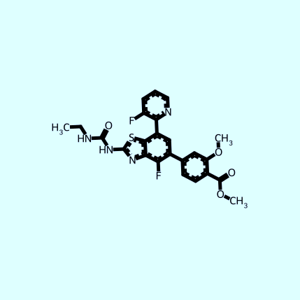 CCNC(=O)Nc1nc2c(F)c(-c3ccc(C(=O)OC)c(OC)c3)cc(-c3ncccc3F)c2s1